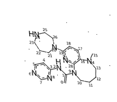 C=C(Nc1ccncn1)N1CCCCN(C)c2ccc(N3CCCNCC3)nc21